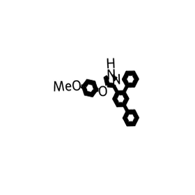 COc1ccc(Oc2c[nH]nc2-c2ccc(-c3ccccc3)cc2-c2ccccc2)cc1